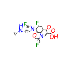 O=C(O)c1cn2c3c(c(N4C[C@H](CNC5CC5)[C@@H](F)C4)c(F)cc3c1=O)OC[C@@H]2CF